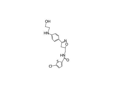 O=C(NCC1CC(c2ccc(NCCO)cc2)=NO1)c1ccc(Cl)s1